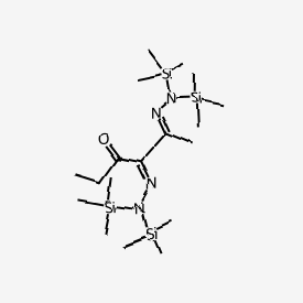 CCC(=O)C(=N\N([Si](C)(C)C)[Si](C)(C)C)/C(C)=N/N([Si](C)(C)C)[Si](C)(C)C